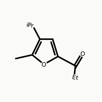 CCC(=O)c1cc(C(C)C)c(C)o1